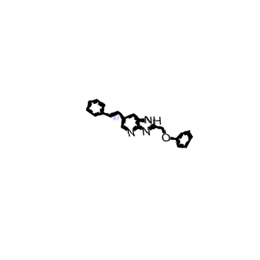 C(=C\c1cnc2nc(COc3ccccc3)[nH]c2c1)/c1ccccc1